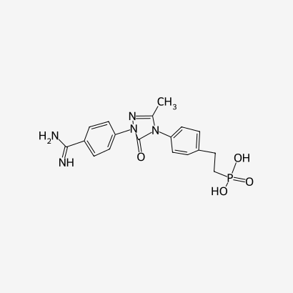 Cc1nn(-c2ccc(C(=N)N)cc2)c(=O)n1-c1ccc(CCP(=O)(O)O)cc1